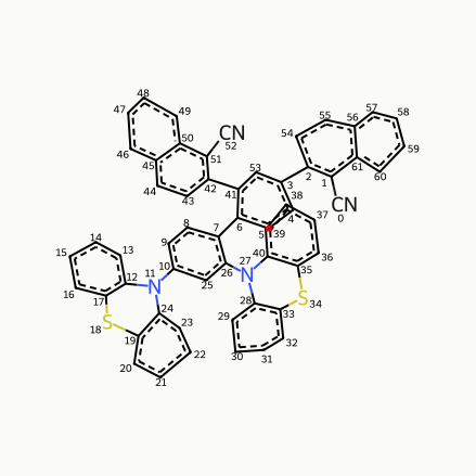 N#Cc1c(-c2ccc(-c3ccc(N4c5ccccc5Sc5ccccc54)cc3N3c4ccccc4Sc4ccccc43)c(-c3ccc4ccccc4c3C#N)c2)ccc2ccccc12